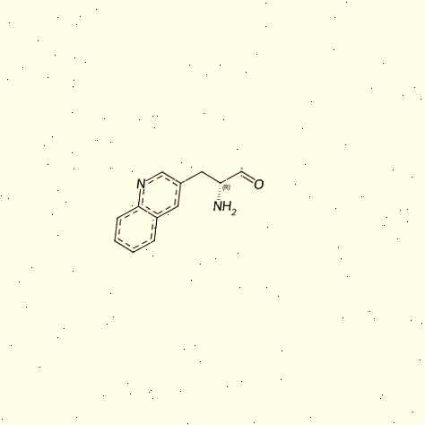 N[C@@H]([C]=O)Cc1cnc2ccccc2c1